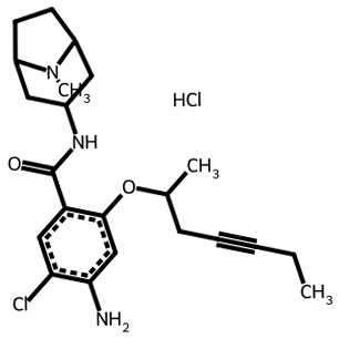 CCC#CCC(C)Oc1cc(N)c(Cl)cc1C(=O)NC1CC2CCC(C1)N2C.Cl